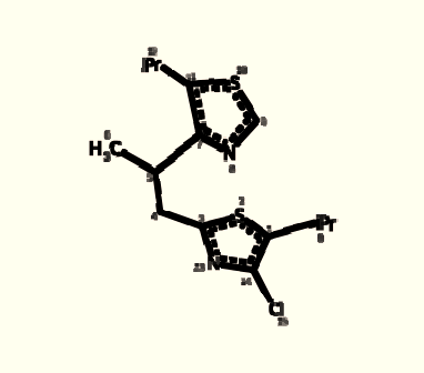 CC(C)c1sc(CC(C)c2ncsc2C(C)C)nc1Cl